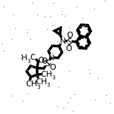 CC(=O)C1(CS(=O)(=O)N2CCC(N(C3CC3)S(=O)(=O)c3cccc4ccccc34)CC2)CCC(C)C1(C)C